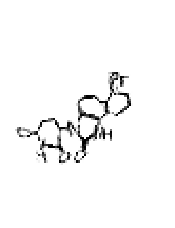 CC(C)N1CCCc2c1ccc1c2[nH]c(=O)n1C1CCC(=O)NC1=O